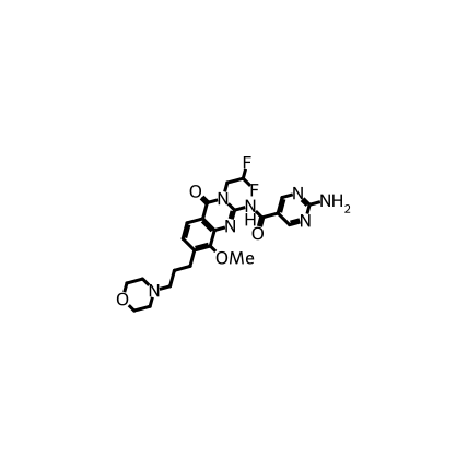 COc1c(CCCN2CCOCC2)ccc2c(=O)n(CC(F)F)c(NC(=O)c3cnc(N)nc3)nc12